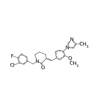 COc1cc(C=C2CCCN(Cc3ccc(F)c(Cl)c3)C2=O)ccc1-n1cnc(C)c1